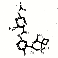 Cc1cc(OC(F)F)cnc1C(=O)Nc1ccc(F)c([C@]2(C)CS(O)(O)C3(CCC3)C(N)=N2)c1